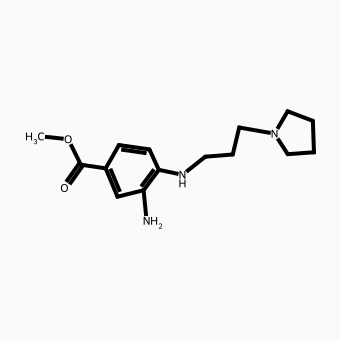 COC(=O)c1ccc(NCCCN2CCCC2)c(N)c1